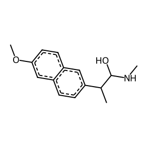 CNC(O)C(C)c1ccc2cc(OC)ccc2c1